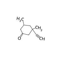 C#CC1(C)CC(=O)CC(C)C1